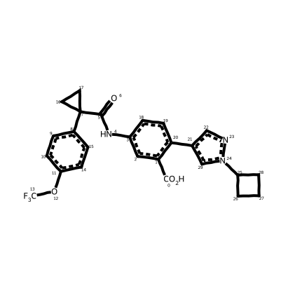 O=C(O)c1cc(NC(=O)C2(c3ccc(OC(F)(F)F)cc3)CC2)ccc1-c1cnn(C2CCC2)c1